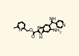 Cc1cccc(COC(=O)c2nc3cc(C(=N)c4ccncc4)c(N)cc3[nH]2)n1